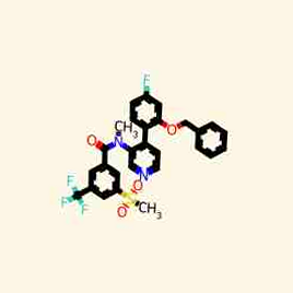 CN(C(=O)c1cc(C(F)(F)F)cc(S(C)(=O)=O)c1)c1cnccc1-c1ccc(F)cc1OCc1ccccc1